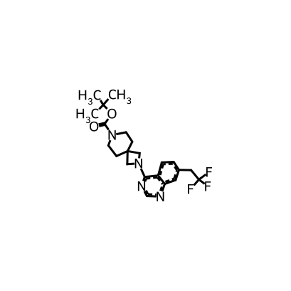 CC(C)(C)OC(=O)N1CCC2(CC1)CN(c1ncnc3cc(CC(F)(F)F)ccc13)C2